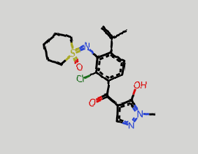 C=C(C)c1ccc(C(=O)c2cnn(C)c2O)c(Cl)c1N=S1(=O)CCCCC1